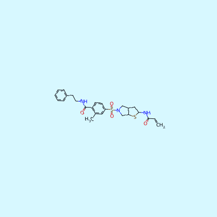 C=CC(=O)NC1CC2CN(S(=O)(=O)c3ccc(C(=O)NCCc4ccccc4)c(C)c3)CC2S1